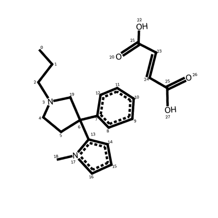 CCCN1CCC(c2ccccc2)(c2cccn2C)C1.O=C(O)/C=C/C(=O)O